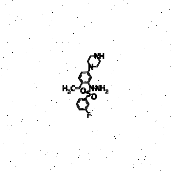 C=Cc1ccc(N2CCNCC2)cc1N(N)S(=O)(=O)c1cccc(F)c1